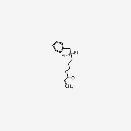 C=CC(=O)OCCC[N+](CC)(CC)Cc1ccccc1